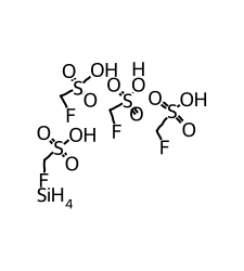 O=S(=O)(O)CF.O=S(=O)(O)CF.O=S(=O)(O)CF.O=S(=O)(O)CF.[SiH4]